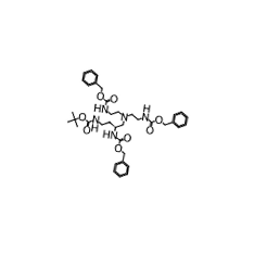 CC(C)(C)OC(=O)NCC[C@@H](CN(CCNC(=O)OCc1ccccc1)CCNC(=O)OCc1ccccc1)NC(=O)OCc1ccccc1